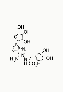 NC1c2ncn([C@@H]3O[C@H](CO)C(O)C3O)c2N=CN1N[C@@H](Cc1ccc(O)c(O)c1)C(=O)O